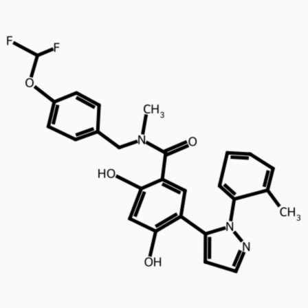 Cc1ccccc1-n1nccc1-c1cc(C(=O)N(C)Cc2ccc(OC(F)F)cc2)c(O)cc1O